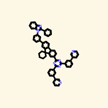 c1ccc(-c2nc3ccccc3n2-c2cccc(-c3ccc4c(c3)C3(CCCCC3)c3cc(-c5nc(-c6cccc(-c7cccnc7)c6)nc(-c6cccc(-c7cccnc7)c6)n5)ccc3-4)c2)cc1